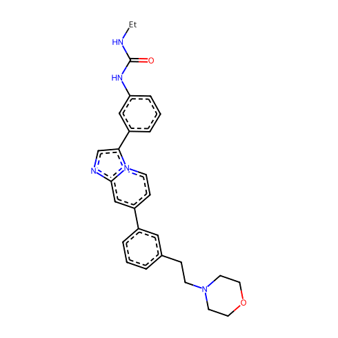 CCNC(=O)Nc1cccc(-c2cnc3cc(-c4cccc(CCN5CCOCC5)c4)ccn23)c1